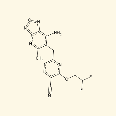 Cc1nc2nonc2c(N)c1Cc1ccc(C#N)c(OCC(F)F)n1